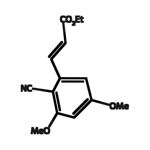 CCOC(=O)/C=C/c1cc(OC)cc(OC)c1C#N